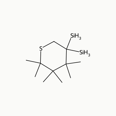 CC1(C)SCC([SiH3])([SiH3])C(C)(C)C1(C)C